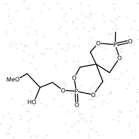 COCC(O)COP1(=O)OCC2(COP(C)(=O)OC2)CO1